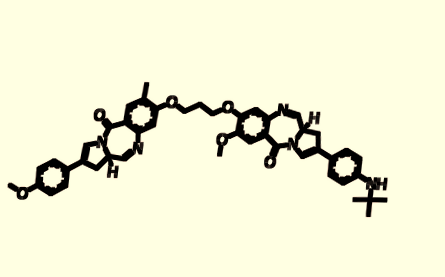 COc1ccc(C2=CN3C(=O)c4cc(C)c(OCCCOc5cc6c(cc5OC)C(=O)N5C=C(c7ccc(NC(C)(C)C)cc7)C[C@H]5C=N6)cc4N=C[C@@H]3C2)cc1